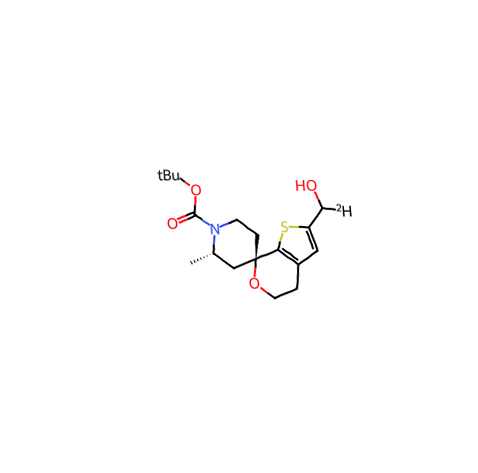 [2H]C(O)c1cc2c(s1)[C@]1(CCN(C(=O)OC(C)(C)C)[C@@H](C)C1)OCC2